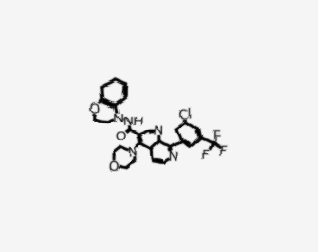 O=C(NN1CCOC2=C1C=CCC2)C1=C(N2CCOCC2)C2C=CN=C(C3=CC(C(F)(F)F)=CC(Cl)C3)C2N=C1